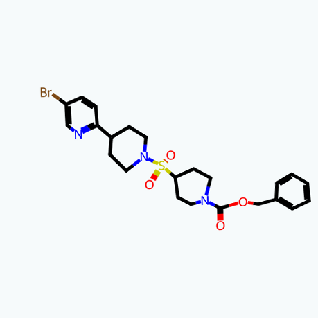 O=C(OCc1ccccc1)N1CCC(S(=O)(=O)N2CCC(c3ccc(Br)cn3)CC2)CC1